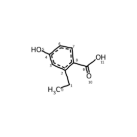 CCc1cc(O)ccc1C(=O)O